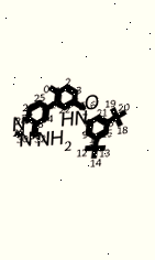 Cc1ccc(C(=O)Nc2cc(C(C)(C)C)cc(C(C)(C)C)c2)cc1-c1ccc2ncnc(N)c2c1